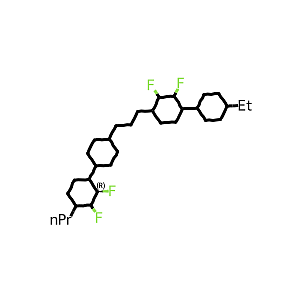 CCCC1CCC(C2CCC(CCCC3CCC(C4CCC(CC)CC4)C(F)C3F)CC2)[C@@H](F)C1F